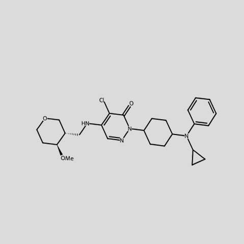 CO[C@H]1CCOC[C@@H]1CNc1cnn(C2CCC(N(c3ccccc3)C3CC3)CC2)c(=O)c1Cl